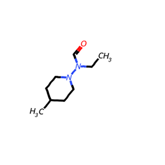 CCN(C=O)N1CCC(C)CC1